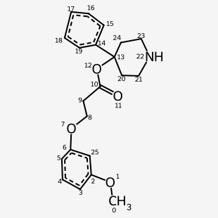 COc1cccc(OCCC(=O)OC2(c3ccccc3)CCNCC2)c1